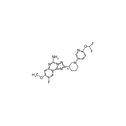 COc1cc2nc(N)n3nc([C@@H]4CCCN(c5ccc(OC(F)F)nc5)C4)nc3c2cc1F